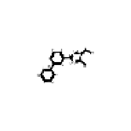 CCn1nc(-c2cccc(-c3ccccc3)c2)nc1C